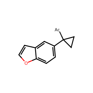 CC(=O)C1(c2ccc3occc3c2)CC1